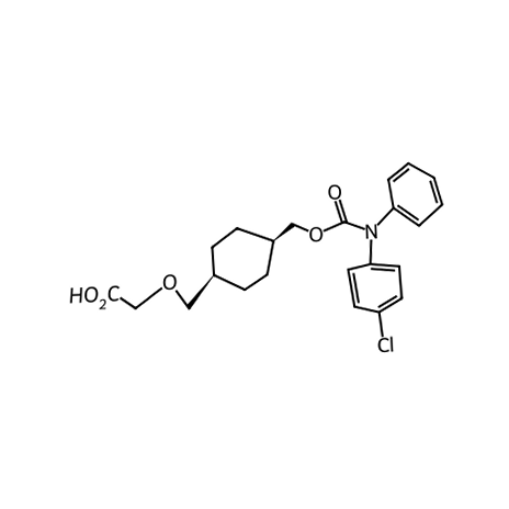 O=C(O)COC[C@H]1CC[C@@H](COC(=O)N(c2ccccc2)c2ccc(Cl)cc2)CC1